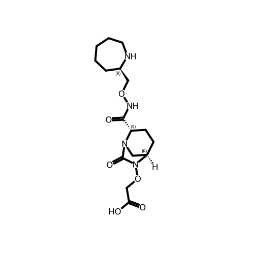 O=C(O)CON1C(=O)N2C[C@H]1CC[C@H]2C(=O)NOC[C@H]1CCCCCN1